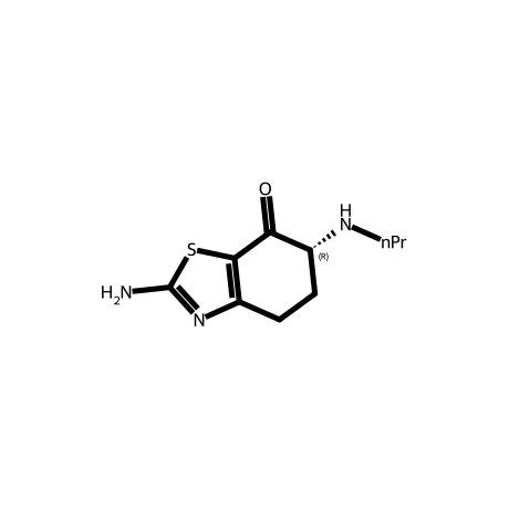 CCCN[C@@H]1CCc2nc(N)sc2C1=O